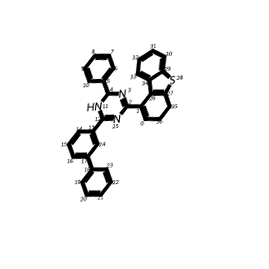 C1=C(C2=NC(c3ccccc3)NC(c3cccc(-c4ccccc4)c3)=N2)c2c(sc3ccccc23)CC1